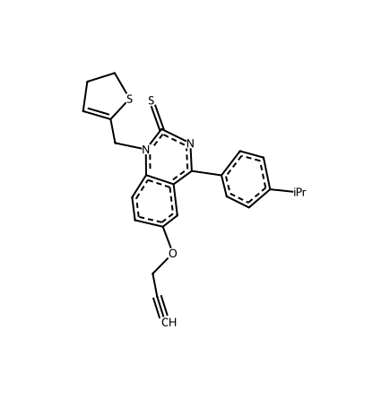 C#CCOc1ccc2c(c1)c(-c1ccc(C(C)C)cc1)nc(=S)n2CC1=CCCS1